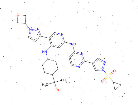 CC(C)(O)C1CCC(Nc2cc(Nc3ccnc(-c4cnn(S(=O)(=O)C5CC5)c4)n3)ncc2-c2ccn(C3COC3)n2)CC1